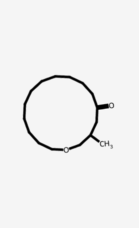 CC1COCCCCCCCCCCCC(=O)C1